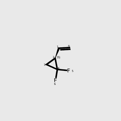 C=C[C@@H]1CC1(F)F